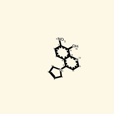 O=[N+]([O-])c1ccc2c(N3CC=CC3)ccnc2c1O